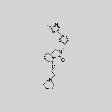 Cn1cc(-c2ccc(CN3Cc4cccc(OCCN5CCCCC5)c4C3=O)s2)cn1